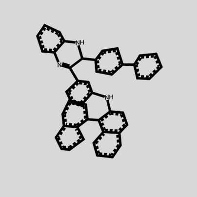 c1ccc(-c2ccc(C3Nc4ccccc4N=C3c3cccc(Nc4ccc5ccccc5c4-c4cccc5ccccc45)c3)cc2)cc1